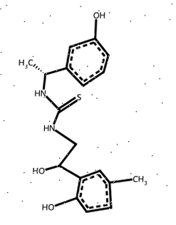 Cc1ccc(O)c(C(O)CNC(=S)N[C@H](C)c2cccc(O)c2)c1